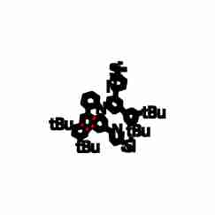 CC(C)(C)c1cc(-c2cc(-c3ccc([Si](C)(C)C)cn3)cc(N(c3cc(-c4cc(C(C)(C)C)cc(C(C)(C)C)c4)cc(-c4ccc([Si](C)(C)C)cn4)c3)c3ccccc3-c3ccccc3)c2)cc(C(C)(C)C)c1